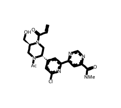 C=CC(=O)N1C[C@H](c2cc(Cl)nc(-c3cc(C(=O)NC)ncn3)c2)N(C(C)=O)C[C@H]1CO